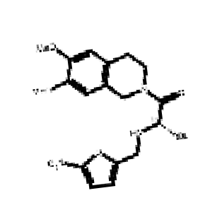 COc1cc2c(cc1OC)CN(C(=O)[C@@H](NCc1ccc([N+](=O)[O-])o1)C(C)(C)C)CC2